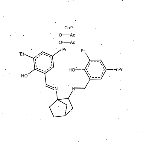 CC(=O)[O-].CC(=O)[O-].CCCc1cc(C=NC2CC3CCC2(N=Cc2cc(CCC)cc(CC)c2O)C3)c(O)c(CC)c1.[Co+2]